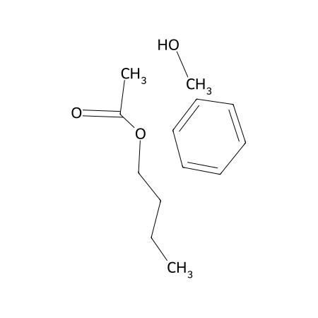 CCCCOC(C)=O.CO.c1ccccc1